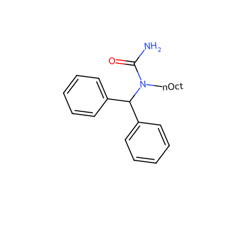 CCCCCCCCN(C(N)=O)C(c1ccccc1)c1ccccc1